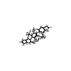 FC(F)(F)c1c(Br)c(-c2cc3sccc3cc2Br)c(C(F)(F)F)c(Br)c1-c1cc2sccc2cc1Br